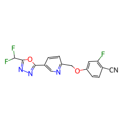 N#Cc1ccc(OCc2ccc(-c3nnc(C(F)F)o3)cn2)cc1F